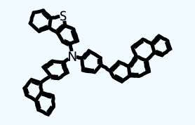 C1=c2sc3ccc(N(c4ccc(-c5ccc6ccc7c8ccccc8ccc7c6c5)cc4)c4ccc(-c5cccc6ccccc56)cc4)cc3c2=CCC1